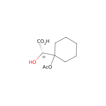 CC(=O)OC1([C@H](O)C(=O)O)CCCCC1